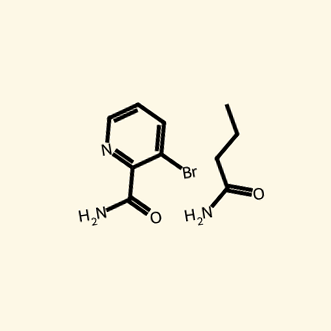 CCCC(N)=O.NC(=O)c1ncccc1Br